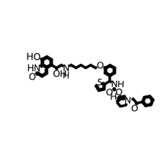 O=C(NC(c1cccc(OCCCCCCNCC(O)c2ccc(O)c3[nH]c(=O)ccc23)c1)c1cccs1)O[C@H]1C[N+]2(CC(=O)c3ccccc3)CCC1CC2